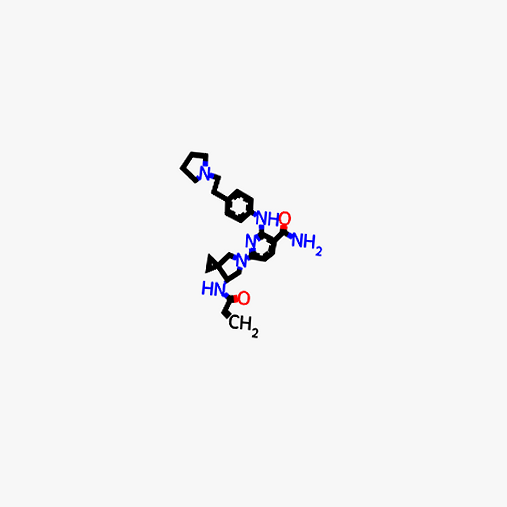 C=CC(=O)N[C@@H]1CN(c2ccc(C(N)=O)c(Nc3ccc(CCN4CCCC4)cc3)n2)CC12CC2